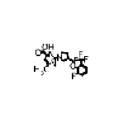 Cc1cc(C(=O)O)nc(N2CCC(COc3c(F)cccc3C(F)(F)F)C2)n1